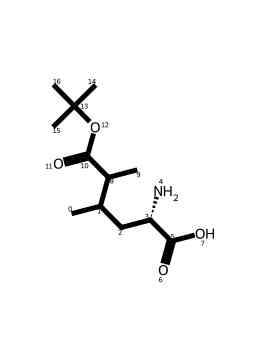 CC(C[C@H](N)C(=O)O)C(C)C(=O)OC(C)(C)C